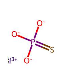 [I+3].[O-]P([O-])([O-])=S